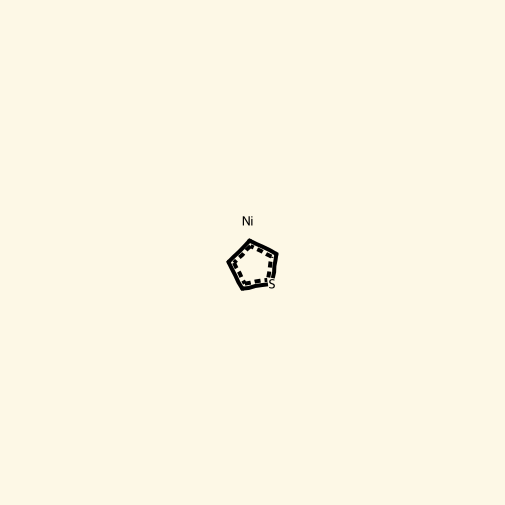 [Ni].c1ccsc1